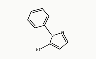 CCc1ccnn1-c1ccccc1